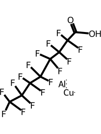 O=C(O)C(F)(F)C(F)(F)C(F)(F)C(F)(F)C(F)(F)C(F)(F)C(F)(F)F.[Al].[Cu]